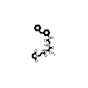 CC(NC(=O)CCN1C(=O)C=CC1=O)C(=O)NCC(=O)Nc1cccc(Cc2ccccc2)c1